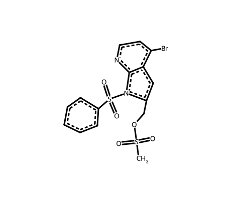 CS(=O)(=O)OCc1cc2c(Br)ccnc2n1S(=O)(=O)c1ccccc1